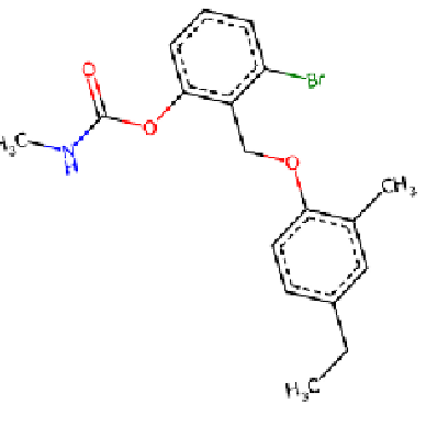 CCc1ccc(OCc2c(Br)cccc2OC(=O)NC)c(C)c1